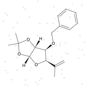 C=C(C)[C@H]1O[C@@H]2OC(C)(C)O[C@@H]2[C@H]1OCc1ccccc1